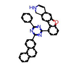 C1=Cc2cc3oc4cccc(-c5nc(-c6ccccc6)nc(-c6ccc7c(ccc8ccccc87)c6)n5)c4c3cc2CN1